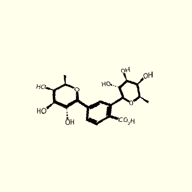 C[C@H]1OC(c2ccc(C(=O)O)c(C3O[C@H](C)[C@H](O)[C@H](O)[C@H]3O)c2)[C@H](O)[C@@H](O)[C@H]1O